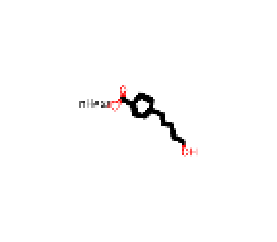 CCCCCCOC(=O)c1ccc(CCCCCO)cc1